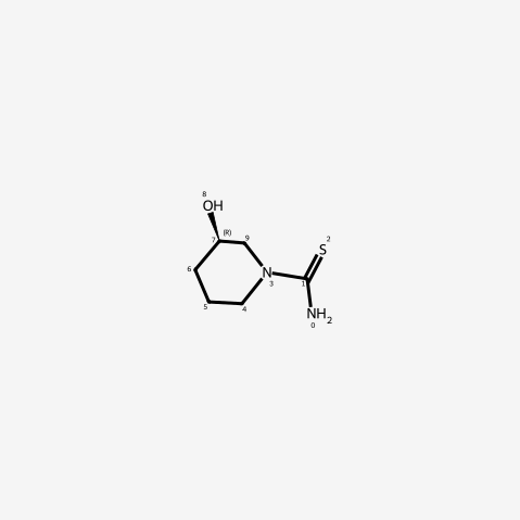 NC(=S)N1CCC[C@@H](O)C1